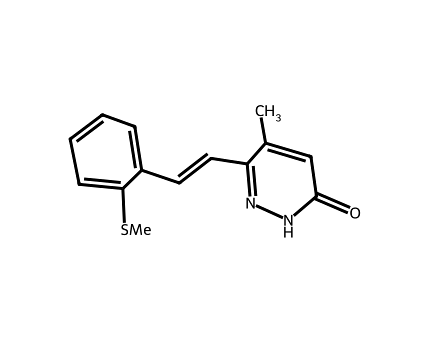 CSc1ccccc1C=Cc1n[nH]c(=O)cc1C